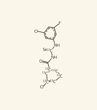 O=C(N[13C](=S)Nc1cc(F)cc(Cl)c1)[13C]1=[13CH][13C](Cl)=[13CH][13CH2][13CH2]1